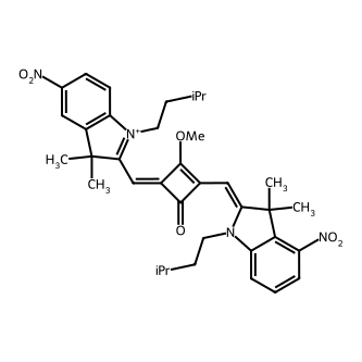 COC1=C(/C=C2\N(CCC(C)C)c3cccc([N+](=O)[O-])c3C2(C)C)C(=O)/C1=C/C1=[N+](CCC(C)C)c2ccc([N+](=O)[O-])cc2C1(C)C